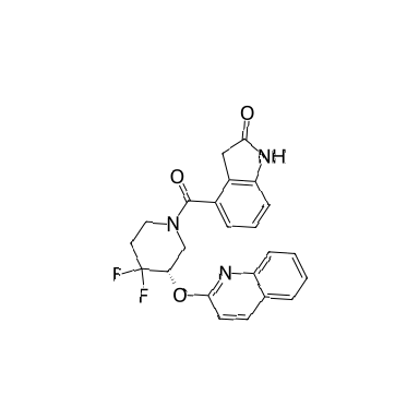 O=C1Cc2c(cccc2C(=O)N2CCC(F)(F)[C@@H](Oc3ccc4ccccc4n3)C2)N1